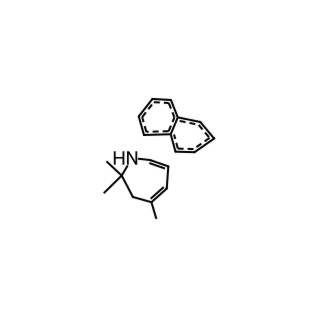 CC1=CC=CNC(C)(C)C1.c1ccc2ccccc2c1